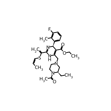 C=C(S/C=C\C)C1=N[C@@H](c2cccc(F)c2C)C(C(=O)OCC)=C(CN2CCN(C(C)=O)[C@H](CC)C2)N1